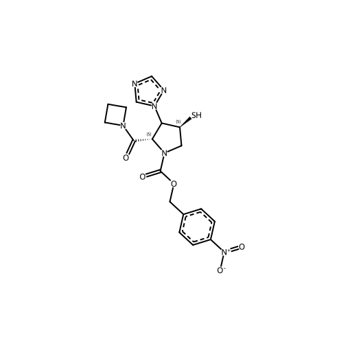 O=C([C@@H]1C(n2cncn2)[C@@H](S)CN1C(=O)OCc1ccc([N+](=O)[O-])cc1)N1CCC1